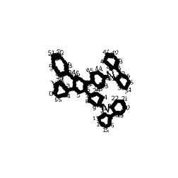 c1ccc(-c2cc(-c3ccc(-n4c5ccccc5c5ccccc54)cc3)c(-c3ccc(-n4c5ccccc5c5ccccc54)cc3)cc2-c2ccccc2)cc1